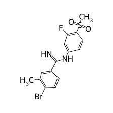 Cc1cc(C(=N)Nc2ccc(S(C)(=O)=O)c(F)c2)ccc1Br